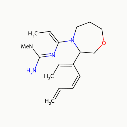 C=C/C=C\C(=C/C)C1COCCCN1C(=C/C)/N=C(/N)NC